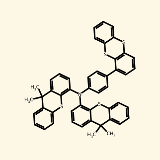 CC1(C)c2ccccc2Sc2c(N(c3ccc(-c4cccc5c4Sc4ccccc4S5)cc3)c3cccc4c3Sc3ccccc3C4(C)C)cccc21